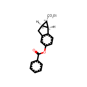 CCOC(=O)[C@H]1[C@@H]2Cc3cc(OC(=O)c4ccccc4)ccc3[C@@H]21